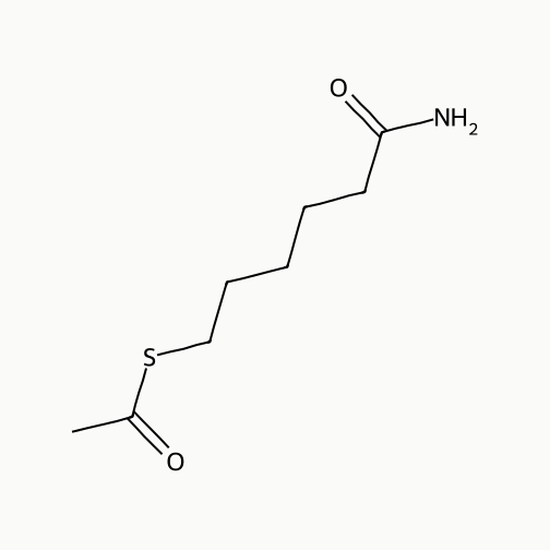 CC(=O)SCCCCCC(N)=O